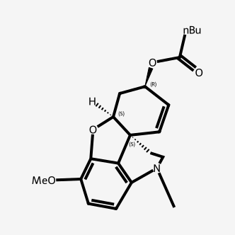 CCCCC(=O)O[C@H]1C=C[C@@]23CCN(C)c4ccc(OC)c(c42)O[C@H]3C1